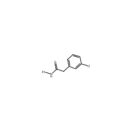 CCNC(=O)Cc1cccc(Cl)c1